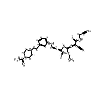 CCn1c(=C=C(C#N)C(=O)NCC#N)sc(=C=CNc2cccc(CCN3CCN(C(N)=O)CC3)c2)c1=O